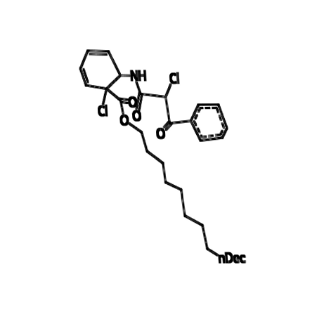 CCCCCCCCCCCCCCCCCCOC(=O)C1(Cl)C=CC=CC1NC(=O)C(Cl)C(=O)c1ccccc1